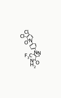 NC(=O)c1cnn(-c2ccc(-n3ccc(Cl)c(Cl)c3=O)cc2)c1C(F)(F)F